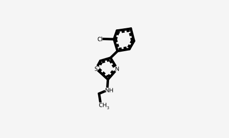 CCNc1nc(-c2ccccc2Cl)cs1